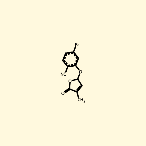 CC1=CC(Oc2cc(Br)ccc2C#N)OC1=O